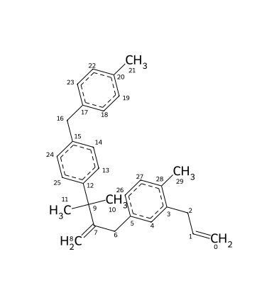 C=CCc1cc(CC(=C)C(C)(C)c2ccc(Cc3ccc(C)cc3)cc2)ccc1C